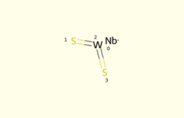 [Nb].[S]=[W]=[S]